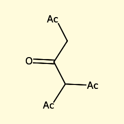 CC(=O)CC(=O)C(C(C)=O)C(C)=O